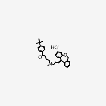 CN(CC/C=C1/c2ccccc2COc2ccccc21)CCCC(=O)c1ccc(C(C)(C)C)cc1.Cl